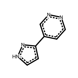 c1cc(-c2cc[nH]n2)cnn1